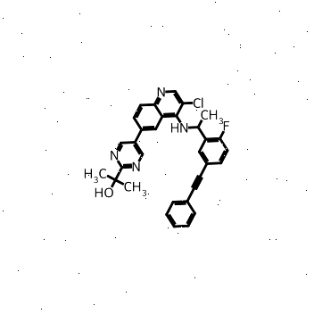 CC(Nc1c(Cl)cnc2ccc(-c3cnc(C(C)(C)O)nc3)cc12)c1cc(C#Cc2ccccc2)ccc1F